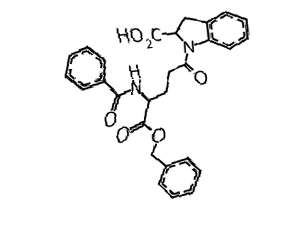 O=C(NC(CCC(=O)N1c2ccccc2CC1C(=O)O)C(=O)OCc1ccccc1)c1ccccc1